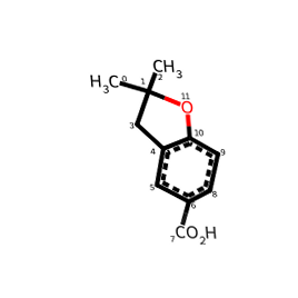 CC1(C)Cc2cc(C(=O)O)ccc2O1